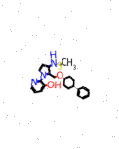 CSNC1CCN(c2ncccc2O)C1CO[C@H]1CC[C@@H](c2ccccc2)CC1